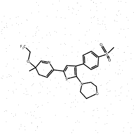 CC1(OCC(F)(F)F)C=NC(c2cc(-c3ccc(S(C)(=O)=O)cc3)c(N3CCOCC3)s2)=CC1